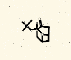 CN1CC2CC(CC1=O)N2C(=O)OC(C)(C)C